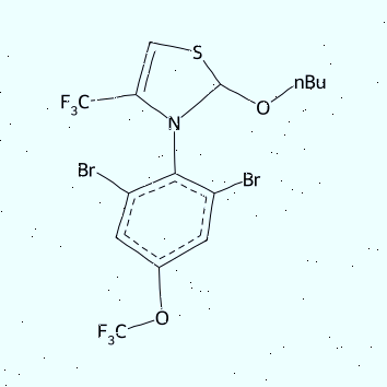 CCCCOC1SC=C(C(F)(F)F)N1c1c(Br)cc(OC(F)(F)F)cc1Br